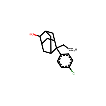 O=C(O)CC1(c2ccc(Cl)cc2)C2CC3CC1CC(C2)C3O